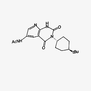 CC(=O)Nc1cnc2[nH]c(=O)n([C@H]3CC[C@H](C(C)(C)C)CC3)c(=O)c2c1